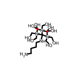 NCCCCNC([N+](CO)(CO)CO)([N+](CO)(CO)CO)[N+](CO)(CO)CO